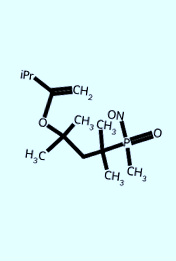 C=C(OC(C)(C)CC(C)(C)P(C)(=O)N=O)C(C)C